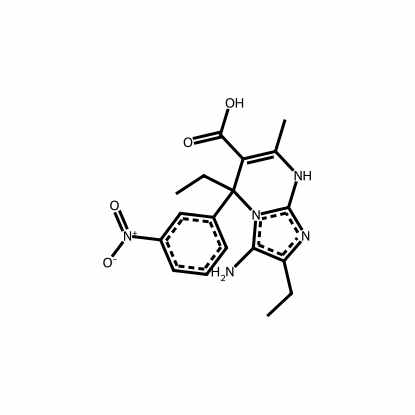 CCc1nc2n(c1N)C(CC)(c1cccc([N+](=O)[O-])c1)C(C(=O)O)=C(C)N2